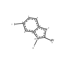 CC(C)c1nc2ccc(I)cc2n1I